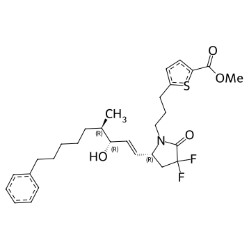 COC(=O)c1ccc(CCCN2C(=O)C(F)(F)C[C@@H]2C=C[C@H](O)[C@H](C)CCCCCc2ccccc2)s1